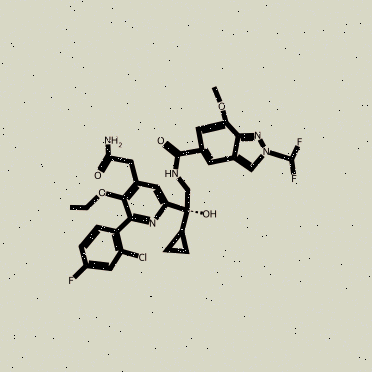 CCOc1c(CC(N)=O)cc([C@@](O)(CNC(=O)c2cc(OC)c3nn(C(F)F)cc3c2)C2CC2)nc1-c1ccc(F)cc1Cl